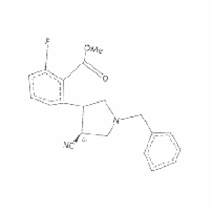 COC(=O)c1c(F)cccc1C1CN(Cc2ccccc2)C[C@H]1C#N